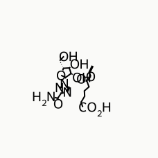 C=COC(=O)CCCCC(=O)O.NC(=O)c1ncn([C@@H]2O[C@H](CO)[C@@H](O)[C@H]2O)n1